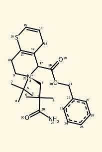 CC(C)(C[N@@+]1(C(C)(C)C)CCC2=C(CC=CS2)C1C(=O)OCc1ccccc1)C(N)=O